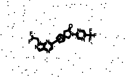 O=C1CC2(CN1c1cnc(C(F)(F)F)cn1)C1CCC2CN(c2cnc3cnn(CC(F)F)c3n2)C1